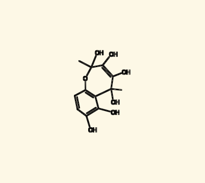 CC1(O)Oc2ccc(O)c(O)c2C(C)(O)C(O)=C1O